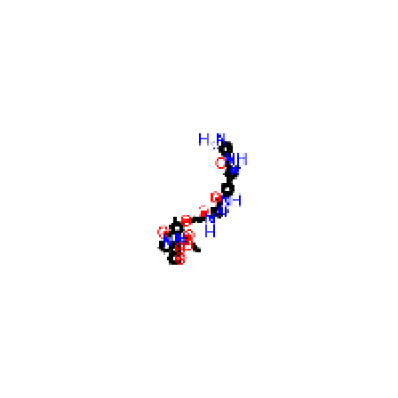 C=CCOC(=O)N1c2cc(OCCCC(=O)Nc3cc(C(=O)Nc4ccc(-c5cc(C(=O)Nc6ccc(N)cc6)n(C)c5)cc4)n(C)c3)c(C)cc2C(=O)N2CCCC[C@H]2C1OC1CCCCO1